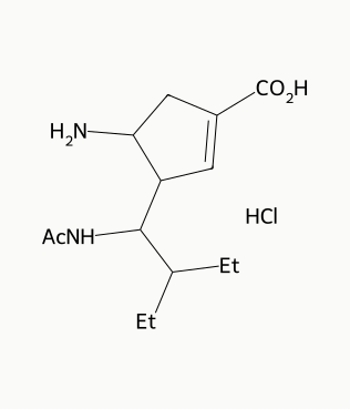 CCC(CC)C(NC(C)=O)C1C=C(C(=O)O)CC1N.Cl